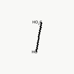 O=C(O)CCCCCCCCCCCCC=CCC=CCCCCCCCCCCO